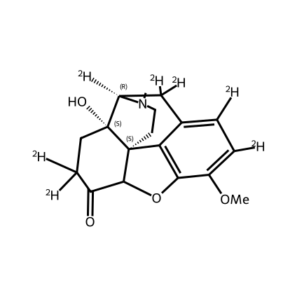 [2H]c1c([2H])c2c3c(c1OC)OC1C(=O)C([2H])([2H])C[C@]4(O)[C@@]31CCN(C)[C@]4([2H])C2([2H])[2H]